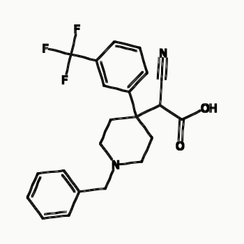 N#CC(C(=O)O)C1(c2cccc(C(F)(F)F)c2)CCN(Cc2ccccc2)CC1